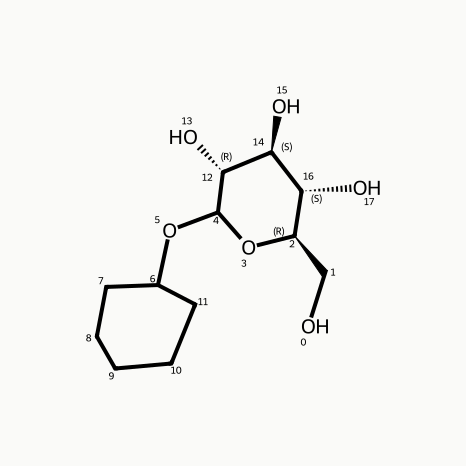 OC[C@H]1OC(OC2CCCCC2)[C@H](O)[C@@H](O)[C@@H]1O